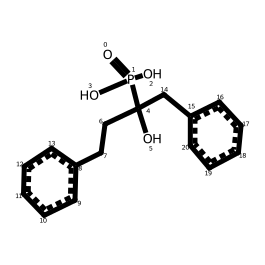 O=P(O)(O)C(O)(CCc1ccccc1)Cc1ccccc1